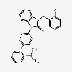 CN(C)c1ccccc1-c1ccc(-n2c(=N)n(Cc3ccccc3Cl)c3ccccc32)cn1